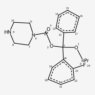 CCCOC(OC(=O)N1CCNCC1)(c1ccccc1)c1ccccc1F